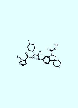 CCn1nccc1C(=O)NC(C(=O)Nc1ccc2c(c1)N(C(=O)OC(C)(C)C)CC21CCOCC1)[C@H]1CC[C@H](C)CC1